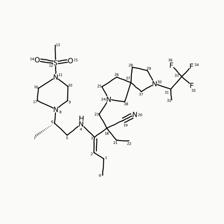 CC/C=C(/NC[C@H](C)N1CCN(S(C)(=O)=O)CC1)C(C#N)(CC)CN1CCC2(CCN(C(C)C(F)(F)F)C2)C1